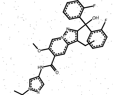 CCc1c(C(O)(c2ccccc2F)c2ccccc2F)nn2cc(OC)c(C(=O)Nc3cnn(CC)c3)cc12